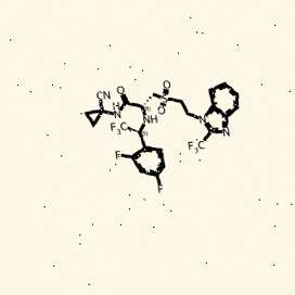 N#CC1(NC(=O)[C@H](CS(=O)(=O)CCn2c(C(F)(F)F)nc3ccccc32)N[C@@H](c2ccc(F)cc2F)C(F)(F)F)CC1